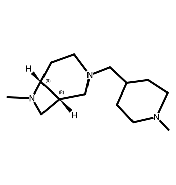 CN1CCC(CN2CC[C@@H]3[C@H](C2)CN3C)CC1